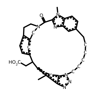 Cc1c2ccc3c1nnn3CCCCCCc1ccc3c(c1)nc(n3C)C(=O)N1CCc3ccc(cc3C1)C2CC(=O)O